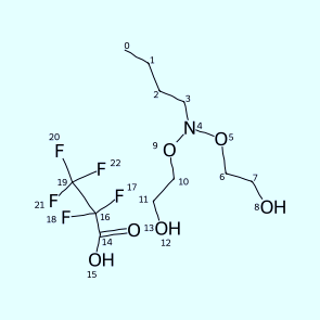 CCCCN(OCCO)OCCO.O=C(O)C(F)(F)C(F)(F)F